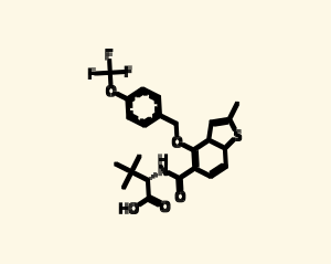 CC1=CC2C(OCc3ccc(OC(F)(F)F)cc3)=C(C(=O)N[C@H](C(=O)O)C(C)(C)C)C=CC2S1